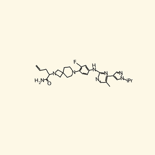 C=CCC(C(N)=O)N1CC2(CCN(c3ccc(Nc4ncc(C)c(-c5cnn(C(C)C)c5)n4)cc3F)CC2)C1